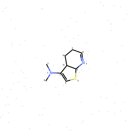 CN(C)C1=[C]SC2N=CCCC12